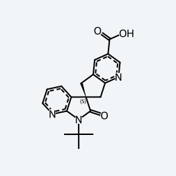 CC(C)(C)N1C(=O)[C@]2(Cc3cc(C(=O)O)cnc3C2)c2cccnc21